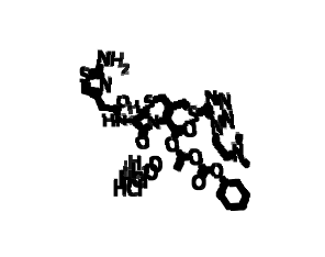 CC(OC(=O)OC1CCCCC1)OC(=O)C1=C(CSc2nnnn2CCN(C)C)CS[C@H]2[C@H](NC(=O)Cc3csc(N)n3)C(=O)N12.Cl.Cl.O.O